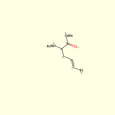 CCC=CCC(NC(C)=O)C(=O)OC